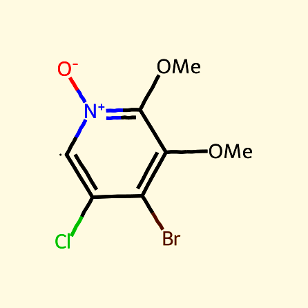 COc1c(Br)c(Cl)[c][n+]([O-])c1OC